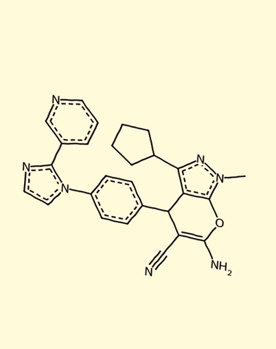 Cn1nc(C2CCCC2)c2c1OC(N)=C(C#N)C2c1ccc(-n2ccnc2-c2cccnc2)cc1